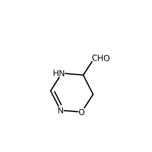 O=CC1CON=CN1